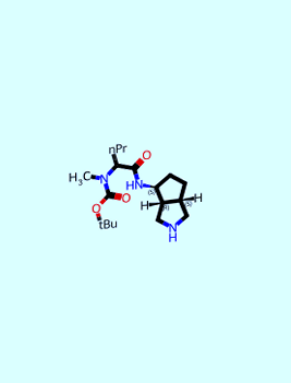 CCCC(C(=O)N[C@H]1CC[C@@H]2CNC[C@@H]21)N(C)C(=O)OC(C)(C)C